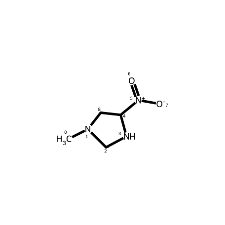 CN1[CH]NC([N+](=O)[O-])C1